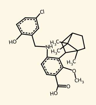 COc1c(C(=O)O)ccc(NCc2cc(Cl)ccc2O)c1C1CC2CCC1(C)C2(C)C